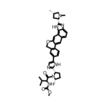 COC(=O)NC(C(=O)N1[C@@H](C)CC[C@H]1c1ncc(-c2ccc3c(c2)COc2cc4c(ccc5nc([C@@H]6C[C@H](C)CN6C)[nH]c54)cc2-3)[nH]1)C(C)C